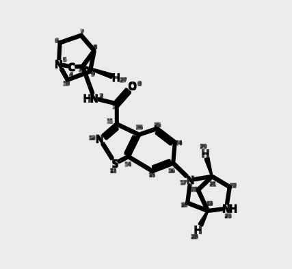 O=C(N[C@@H]1CN2CCC1CC2)c1nsc2cc(N3C[C@@H]4C[C@H]3CN4)ccc12